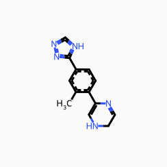 Cc1cc(-c2nnc[nH]2)ccc1C1=CNCC=N1